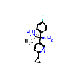 C[C@H](N)C(N)(c1ccc(F)cc1)c1ccc(C2CC2)nc1